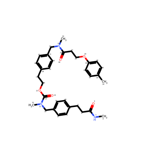 CNC(=O)CCc1ccc(CN(C)C(=O)OCCc2ccc(CN(C)C(=O)CCOc3ccc(C)cc3)cc2)cc1